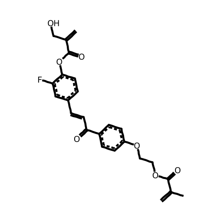 C=C(C)C(=O)OCCOc1ccc(C(=O)/C=C/c2ccc(OC(=O)C(=C)CO)c(F)c2)cc1